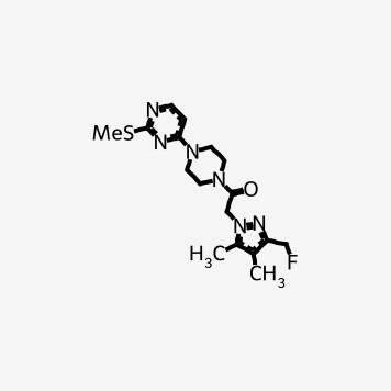 CSc1nccc(N2CCN(C(=O)Cn3nc(CF)c(C)c3C)CC2)n1